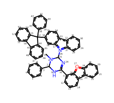 CN1C(c2ccccc2)NC(c2cccc3c2oc2ccccc23)=NC1n1c2ccccc2c2ccc(C3(c4ccccc4)c4ccccc4-c4ccccc43)cc21